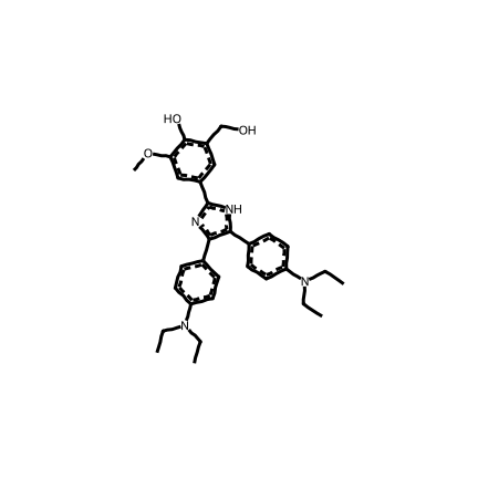 CCN(CC)c1ccc(-c2nc(-c3cc(CO)c(O)c(OC)c3)[nH]c2-c2ccc(N(CC)CC)cc2)cc1